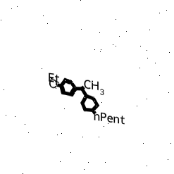 CCCCCC1CCC(C(C)c2ccc(OCC)cc2)CC1